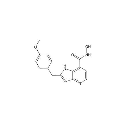 COc1ccc(Cc2cc3nccc(C(=O)NO)c3[nH]2)cc1